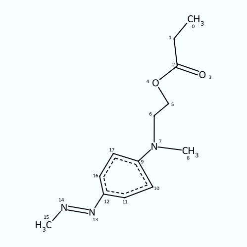 CCC(=O)OCCN(C)c1ccc(N=NC)cc1